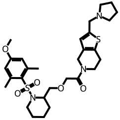 COc1cc(C)c(S(=O)(=O)N2CCCCC2COCC(=O)N2CCc3sc(CN4CCCC4)cc3C2)c(C)c1